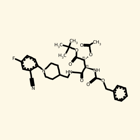 CC(=O)O[C@@H](C(=O)OC(C)(C)C)[C@@H](NC(=O)OCc1ccccc1)C(=O)NCC1CCN(c2ccc(F)cc2C#N)CC1